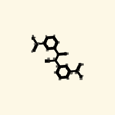 O=C(c1cccc([N+](=O)[O-])c1)C(O)c1cccc([N+](=O)[O-])c1